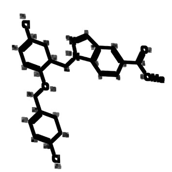 COC(=O)c1ccc2c(cnn2CC2CC(Cl)=CC=C2OCC2=CC=C(Cl)CC2)c1